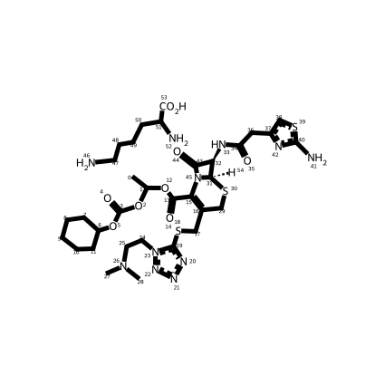 CC(OC(=O)OC1CCCCC1)OC(=O)C1=C(CSc2nnnn2CCN(C)C)CS[C@@H]2[C@H](NC(=O)Cc3csc(N)n3)C(=O)N12.NCCCCC(N)C(=O)O